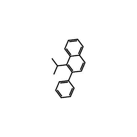 CC(C)c1c(-c2ccccc2)ccc2ccccc12